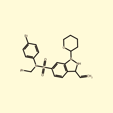 C=CC1NN(C2CCCCO2)c2cc(S(=O)(=O)N(CC(C)C)c3ccc(CC)cc3)ccc21